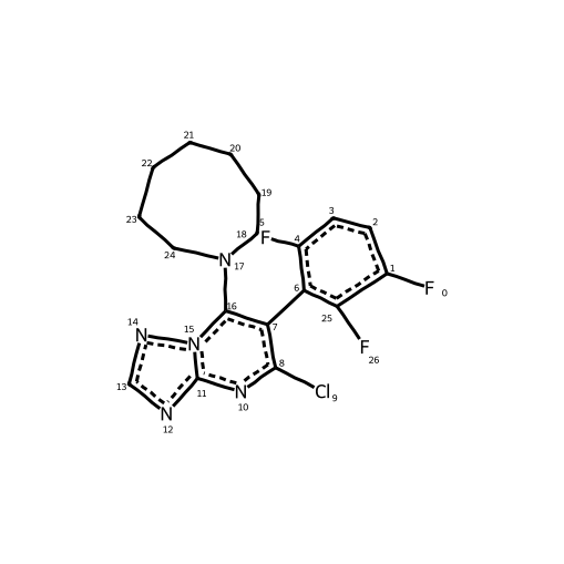 Fc1ccc(F)c(-c2c(Cl)nc3ncnn3c2N2CCCCCCC2)c1F